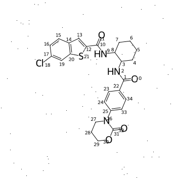 O=C(NC1CCCCC1NC(=O)c1cc2ccc(Cl)cc2s1)c1ccc(N2CCCOC2=O)cc1